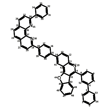 c1ccc(-c2cccc(-c3nc4ccc(-c5ccc(-c6ccc7ccc8ccc(-c9ccccc9)nc8c7n6)cc5)cc4c4oc5ccccc5c34)c2)cc1